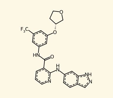 O=C(Nc1cc(O[C@@H]2CCOC2)cc(C(F)(F)F)c1)c1cccnc1Nc1ccc2cn[nH]c2c1